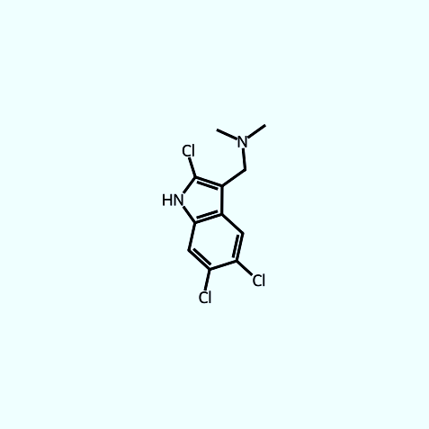 CN(C)Cc1c(Cl)[nH]c2cc(Cl)c(Cl)cc12